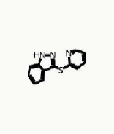 c1ccc(Sc2n[nH]c3ccccc23)nc1